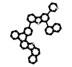 c1cncc(-c2cc(-c3cccc4ccccc34)c3oc4c(-c5ccc6c(c5)c5ccccc5c5ccc7c(sc8ccc9ccccc9c87)c56)cccc4c3c2)c1